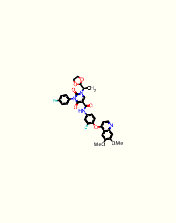 COc1cc2nccc(Oc3ccc(NC(=O)c4cn(C(C)C5OCCO5)c(=O)n(-c5ccc(F)cc5)c4=O)cc3F)c2cc1OC